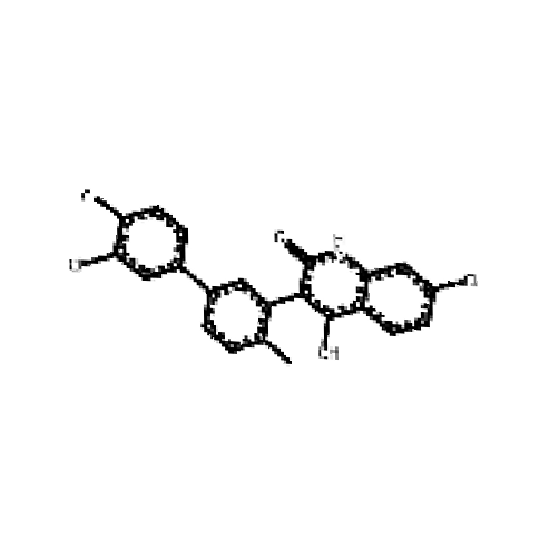 Cc1ccc(-c2ccc(Cl)c(Cl)c2)cc1-c1c(O)c2ccc(Cl)cc2[nH]c1=O